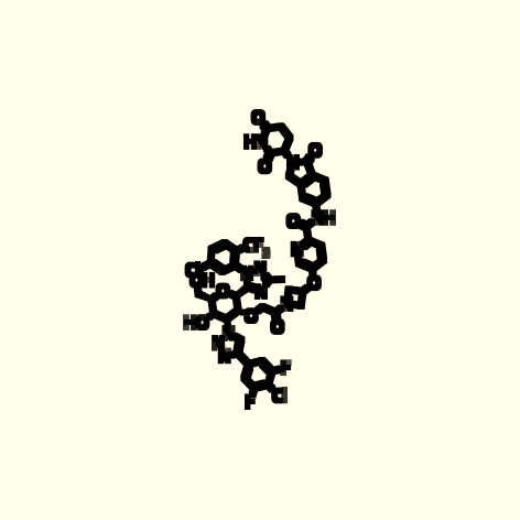 Cc1nc([C@@H]2O[C@H](CO)[C@H](O)[C@H](n3cc(-c4cc(F)c(Cl)c(F)c4)nn3)[C@H]2OCC(=O)N2CC(Oc3ccc(C(=O)Nc4ccc5c(c4)CN(C4CCC(=O)NC4=O)C5=O)nc3)C2)n(-c2cc(Cl)ccc2C(F)(F)F)n1